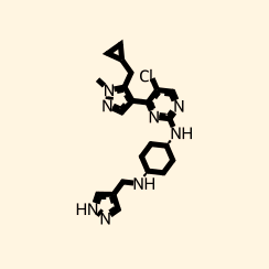 Cn1ncc(-c2nc(N[C@H]3CC[C@@H](NCc4cn[nH]c4)CC3)ncc2Cl)c1CC1CC1